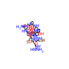 CSCC[C@H](NC(=O)[C@H](CCCNC(=N)N)NC(=O)[C@@H](N)CS)C(=O)N[C@@H](Cc1ccccc1)C(=O)N1CCC[C@H]1C(=O)N[C@@H](CC(N)=O)C(=O)N[C@@H](C)C(=O)N1CCC[C@H]1C(=O)N[C@@H](Cc1ccc(O)cc1)C(=O)N[C@@H](CC(C)C)C(=O)O